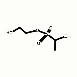 CC(O)S(=O)(=O)OCCO